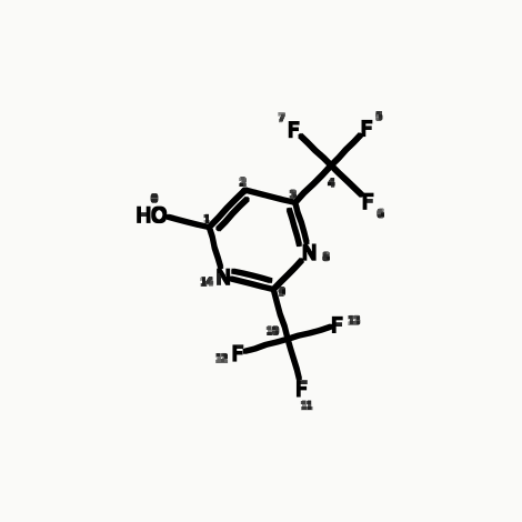 Oc1cc(C(F)(F)F)nc(C(F)(F)F)n1